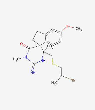 COc1ccc2c(c1)CCC21C(=O)N(C)C(=N)N[C@]1(C)CS/C=C(\C)Br